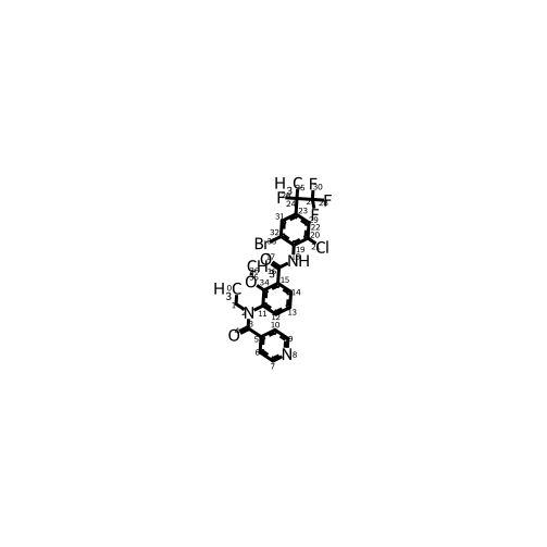 CCN(C(=O)c1ccncc1)c1cccc(C(=O)Nc2c(Cl)cc(C(C)(F)C(F)(F)F)cc2Br)c1OC